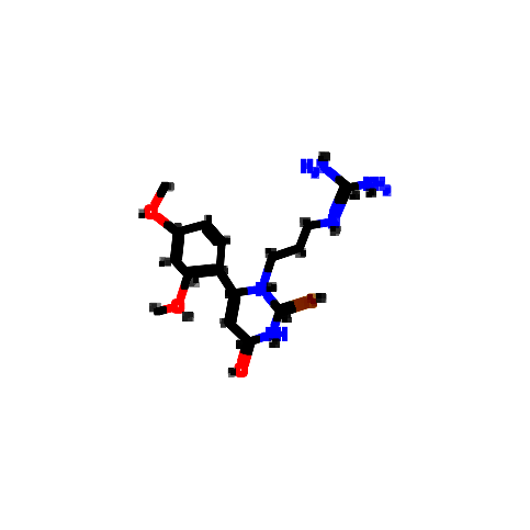 COc1ccc(-c2cc(=O)[nH]c(=S)n2CCCN=C(N)N)c(OC)c1